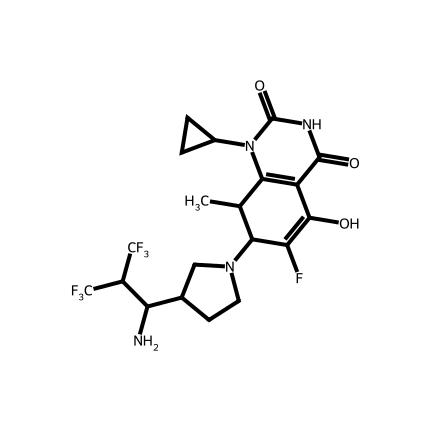 CC1c2c(c(=O)[nH]c(=O)n2C2CC2)C(O)=C(F)C1N1CCC(C(N)C(C(F)(F)F)C(F)(F)F)C1